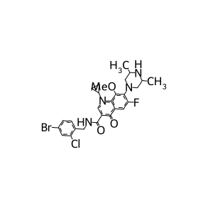 COc1c(N2CC(C)NC(C)C2)c(F)cc2c(=O)c(C(=O)NCc3ccc(Br)cc3Cl)cn(C3CC3)c12